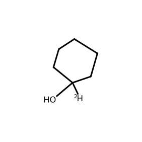 [2H]C1(O)CCCCC1